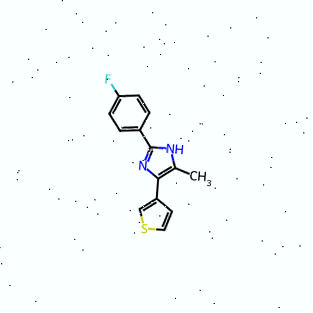 Cc1[nH]c(-c2ccc(F)cc2)nc1-c1ccsc1